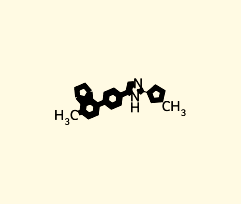 Cc1ccc(-c2ccc(-c3cnc([C@@H]4CC[C@H](C)C4)[nH]3)cc2)c2c1C1CCC2C1